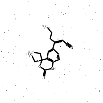 CCC/C(=C/C#N)c1ccc2c(c1)C(CC)(CC)OC(=O)N2